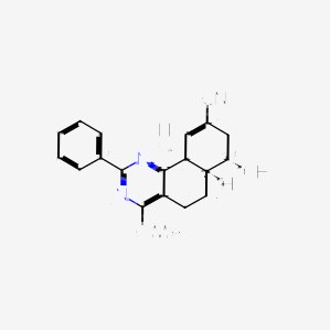 COc1nc(-c2ccccc2)nc2c1CC[C@H]1[C@H](C)CC(C#N)=C[C@]21C